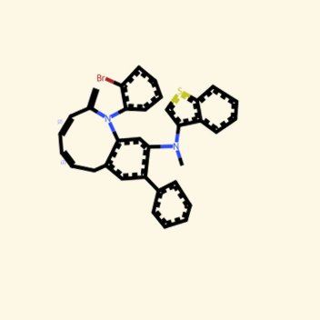 C=C1/C=C\C=C/Cc2cc(-c3ccccc3)c(N(C)c3csc4ccccc34)cc2N1c1ccccc1Br